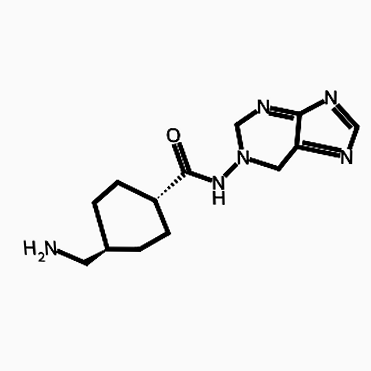 NC[C@H]1CC[C@H](C(=O)NN2CN=C3N=CN=C3C2)CC1